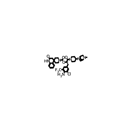 CN1CC2CC1CN2C1CCN(C(=O)[C@@H](Cc2cc(Cl)c(N)c(C(F)(F)F)c2)OC(=O)N2CCC3(CC2)CC(=O)Nc2ccccc23)CC1